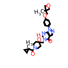 CC1(COc2ccc(-n3ncc4c(=O)n(CC5(O)CCN(C(=O)C6(C)CC6)CC5)cnc43)cc2)COC1